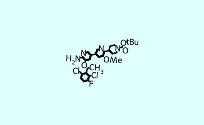 COc1cc(-c2cnc(N)c(OC(C)c3c(Cl)ccc(F)c3Cl)c2)cnc1C1=CCN(C(=O)OC(C)(C)C)CC1